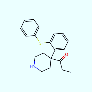 CCC(=O)C1(c2ccccc2Sc2ccccc2)CCNCC1